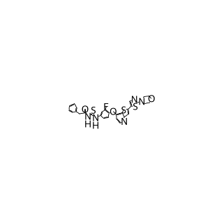 O=C(Cc1ccccc1)NC(=S)Nc1ccc(Oc2ccnc3cc(-c4cnc(N5CCOCC5)s4)sc23)c(F)c1